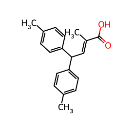 CC(=CC(c1ccc(C)cc1)c1ccc(C)cc1)C(=O)O